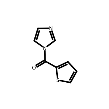 O=C(c1cccs1)n1ccnc1